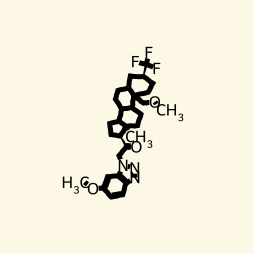 COCC12CC[C@H](C(F)(F)F)CC1CCC1C2CCC2(C)C1CC[C@@H]2C(=O)Cn1nnc2ccc(OC)cc21